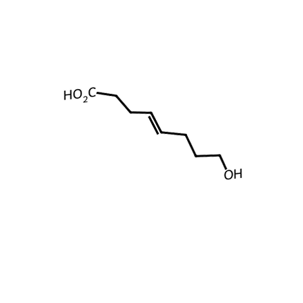 O=C(O)CCC=CCCCO